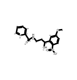 COc1ccc([N+](=O)[O-])c(C(O)CCNC(=O)c2ccccn2)c1